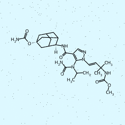 COC(=O)NC(C)(C)/C=C/n1ncc(C(=O)N[C@H]2C3CC4CC2C[C@](OC(N)=O)(C4)C3)c1N(C(N)=O)C(C)C